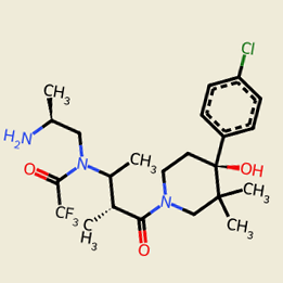 CC([C@@H](C)C(=O)N1CC[C@](O)(c2ccc(Cl)cc2)C(C)(C)C1)N(C[C@H](C)N)C(=O)C(F)(F)F